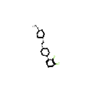 CCC[C@H]1CC[C@H](CC[C@H]2CC[C@H](c3cccc(F)c3F)CC2)CC1